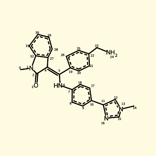 CN1C(=O)/C(=C(\Nc2ccc(-c3cn(C)cn3)cc2)c2ccc(CN)cc2)c2ccccc21